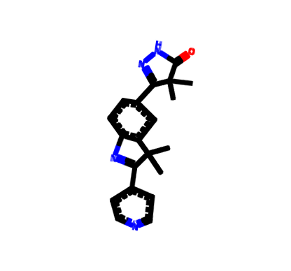 CC1(C)C(=O)NN=C1c1ccc2c(c1)C(C)(C)C(c1ccncc1)=N2